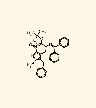 Cn1nc([N+](=O)[O-])c(C[C@H](N=C(c2ccccc2)c2ccccc2)C(=O)OC(C)(C)C)c1Cc1ccccc1